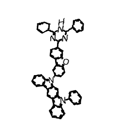 C1=CCC(C2=NC(c3ccc4c(c3)oc3ccc(-n5c6ccccc6c6cc7c8ccccc8n(-c8ccccc8)c7cc65)cc34)=NC(c3ccccc3)N2)C=C1